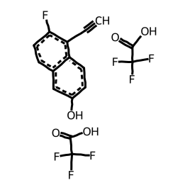 C#Cc1c(F)ccc2cc(O)ccc12.O=C(O)C(F)(F)F.O=C(O)C(F)(F)F